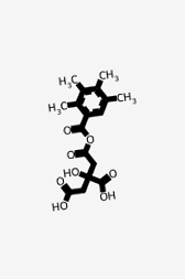 Cc1cc(C(=O)OC(=O)CC(O)(CC(=O)O)C(=O)O)c(C)c(C)c1C